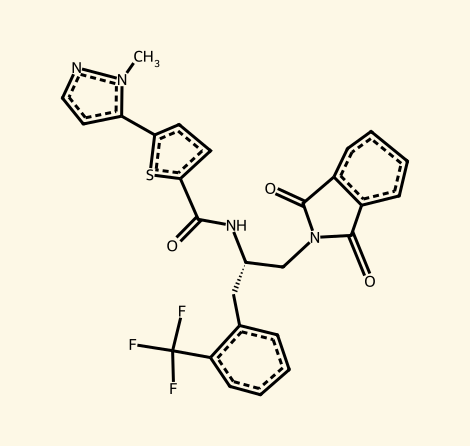 Cn1nccc1-c1ccc(C(=O)N[C@@H](Cc2ccccc2C(F)(F)F)CN2C(=O)c3ccccc3C2=O)s1